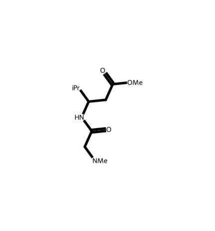 CNCC(=O)NC(CC(=O)OC)C(C)C